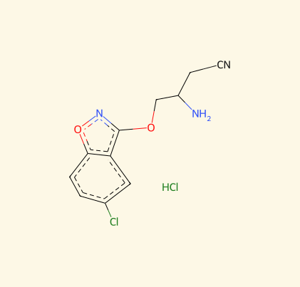 Cl.N#CCC(N)COc1noc2ccc(Cl)cc12